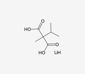 CC(C)C(C)(C(=O)O)C(=O)O.[LiH]